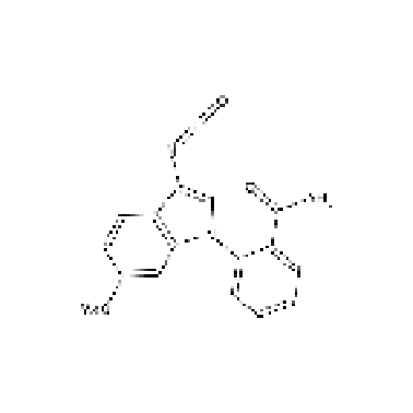 COc1ccc2c(N=C=O)cn(-c3ccccc3C(N)=O)c2c1